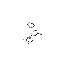 CC1(C)OB(c2cc(Br)cc(-c3ccccc3)c2)OC1(C)C